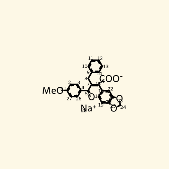 COc1ccc(C(=O)/C(Cc2ccccc2)=C(/C(=O)[O-])c2ccc3c(c2)OCO3)cc1.[Na+]